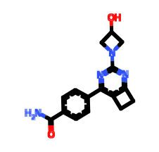 NC(=O)c1ccc(-c2nc(N3CC(O)C3)nc3c2CC3)cc1